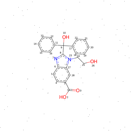 O=C(O)c1ccc2nc(C(O)(c3ccccc3)c3ccccc3)n(CCO)c2c1